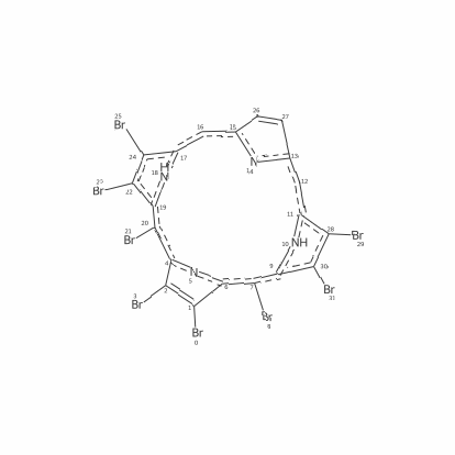 BrC1=C(Br)c2nc1c(Br)c1[nH]c(cc3nc(cc4[nH]c(c2Br)c(Br)c4Br)C=C3)c(Br)c1Br